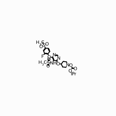 CC(C)OC(=O)ON1CCC(Oc2ncnc(Oc3ccc(S(C)(=O)=O)cc3F)c2NS(C)(=O)=O)CC1